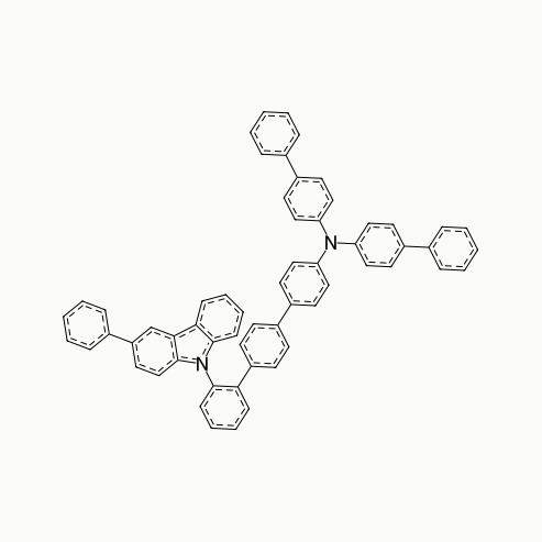 c1ccc(-c2ccc(N(c3ccc(-c4ccccc4)cc3)c3ccc(-c4ccc(-c5ccccc5-n5c6ccccc6c6cc(-c7ccccc7)ccc65)cc4)cc3)cc2)cc1